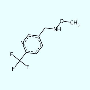 CONCc1ccc(C(F)(F)F)nc1